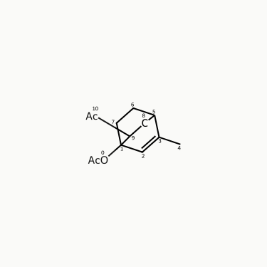 CC(=O)OC12C=C(C)C(CC1)CC2C(C)=O